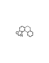 c1ccc2c(c1)CCc1ccc3ocnc3c1-2